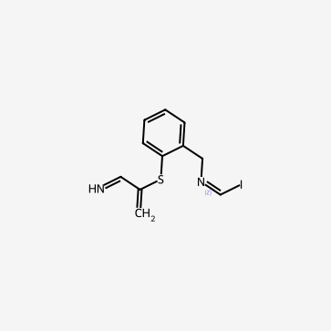 C=C(C=N)Sc1ccccc1C/N=C\I